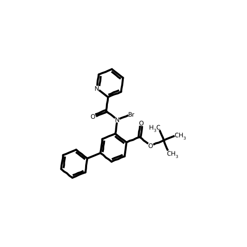 CC(C)(C)OC(=O)c1ccc(-c2ccccc2)cc1N(Br)C(=O)c1ccccn1